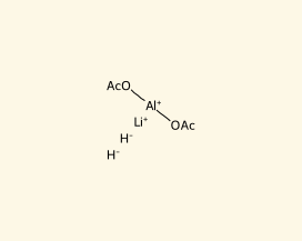 CC(=O)[O][Al+][O]C(C)=O.[H-].[H-].[Li+]